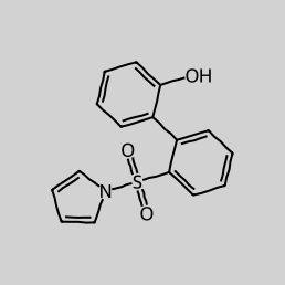 O=S(=O)(c1ccccc1-c1ccccc1O)n1cccc1